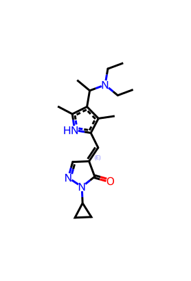 CCN(CC)C(C)c1c(C)[nH]c(/C=C2\C=NN(C3CC3)C2=O)c1C